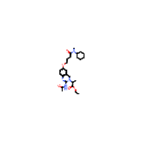 CCOC(=O)C(C)N1Cc2cc(OCCCC(=O)N(C)C3CCCCC3)ccc2N=C1NC(C)=O